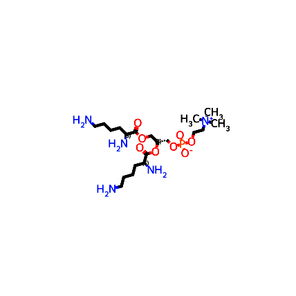 C[N+](C)(C)CCOP(=O)([O-])OC[C@@H](COC(=O)[C@@H](N)CCCCN)OC(=O)[C@@H](N)CCCCN